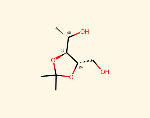 C[C@H](O)[C@@H]1OC(C)(C)O[C@H]1CO